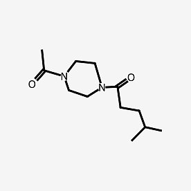 CC(=O)N1CCN(C(=O)CCC(C)C)CC1